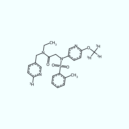 [3H]c1ccc(CN(CC)C(=O)CN(c2ccc(OC([3H])([3H])[3H])nc2)S(=O)(=O)c2ccccc2C)cn1